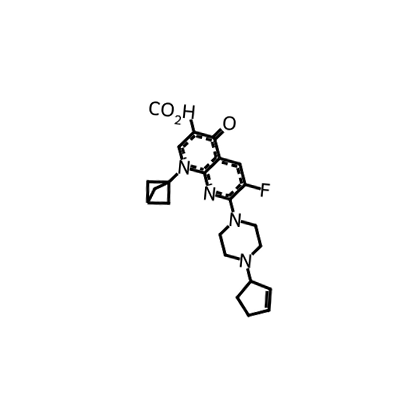 O=C(O)c1cn(C23CC(C2)C3)c2nc(N3CCN(C4C=CCC4)CC3)c(F)cc2c1=O